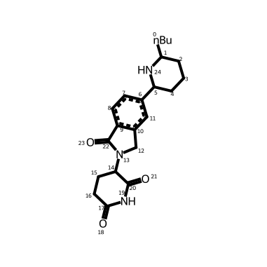 CCCCC1CCCC(c2ccc3c(c2)CN(C2CCC(=O)NC2=O)C3=O)N1